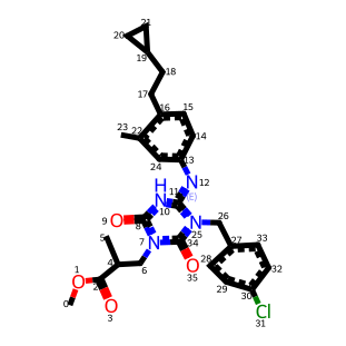 COC(=O)C(C)Cn1c(=O)[nH]/c(=N\c2ccc(CCC3CC3)c(C)c2)n(Cc2ccc(Cl)cc2)c1=O